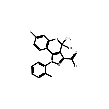 CC1(C)Oc2cc(I)ccc2-c2c1c(C(=O)O)nn2-c1ccccc1F